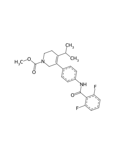 COC(=O)N1CCC(C(C)C)=C(c2ccc(NC(=O)c3c(F)cccc3F)cc2)C1